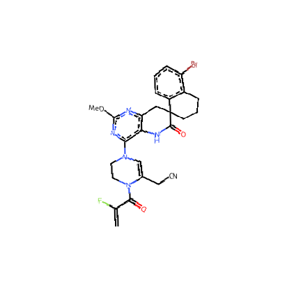 C=C(F)C(=O)N1CCN(c2nc(OC)nc3c2NC(=O)C2(CCCc4c(Br)cccc42)C3)C=C1CC#N